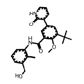 COc1c(C(=O)Nc2cccc(CO)c2C)cc(-c2ccc[nH]c2=O)cc1C(C)(C)C